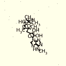 CCC(CC)(CC1OC(n2cnc3c(NC)ncnc32)[C@H](O)[C@@H]1O)OP(=O)(O)C(O)(CC)CC